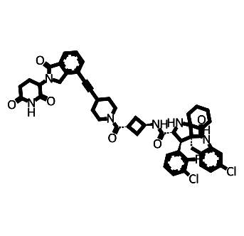 O=C1CCC(N2Cc3c(C#CC4CCN(C(=O)[C@H]5C[C@H](NC(=O)[C@@H]6NC7(CCCCC7)[C@]7(Cc8ccc(Cl)cc8NC7=O)[C@H]6c6cccc(Cl)c6F)C5)CC4)cccc3C2=O)C(=O)N1